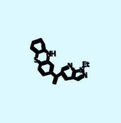 C=C(c1ccc2c(c1)Nc1ccccc1S2)c1cnc2c(cnn2CC)c1